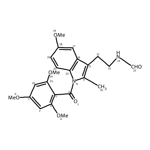 COc1cc(OC)c(C(=O)n2c(C)c(CCNC=O)c3cc(OC)ccc32)c(OC)c1